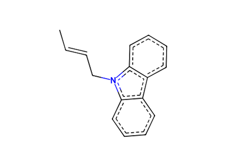 CC=CCn1c2ccccc2c2ccccc21